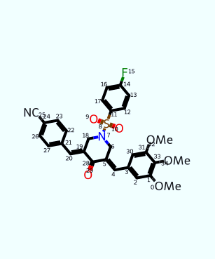 COc1cc(C=C2CN(S(=O)(=O)c3ccc(F)cc3)CC(=Cc3ccc(C#N)cc3)C2=O)cc(OC)c1OC